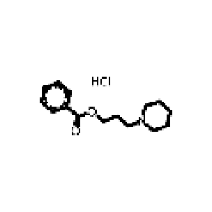 Cl.O=C(OCCCN1CCCCC1)c1ccccc1